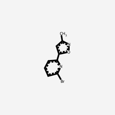 Cc1cc(-c2cccc(Br)n2)on1